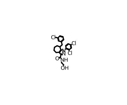 O=C(NCCO)c1nn(-c2ccc(Cl)cc2Cl)c2c1CCCCC2Cc1cccc(Cl)c1